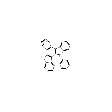 C1=CC2SC1c1c2c2c3ccccc3n(-c3ccccc3)c2c2c1[nH]c1ccccc12